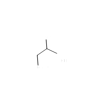 CCCCCCC(C)S(=O)(=O)O.[KH]